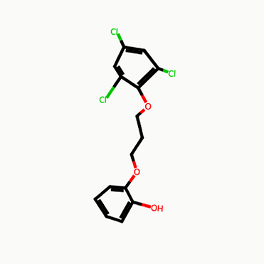 Oc1ccccc1OCCCOc1c(Cl)cc(Cl)cc1Cl